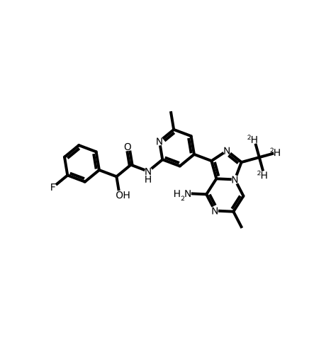 [2H]C([2H])([2H])c1nc(-c2cc(C)nc(NC(=O)C(O)c3cccc(F)c3)c2)c2c(N)nc(C)cn12